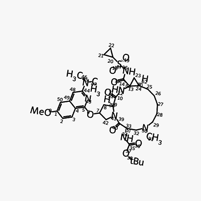 COc1ccc2c(OC3C[C@H]4C(=O)N[C@]5(C(=O)NS(=O)(=O)C6CC6)C[C@H]5CCCCCN(C)C[C@H](NC(=O)OC(C)(C)C)C(=O)N4C3)nc(N(C)C)cc2c1